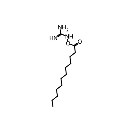 CCCCCCCCCCCC(=O)ONC(=N)N